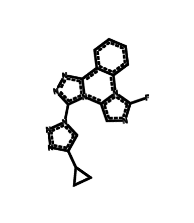 Fc1ncc2n1c1ccccc1c1nnc(-n3cc(C4CC4)nn3)n12